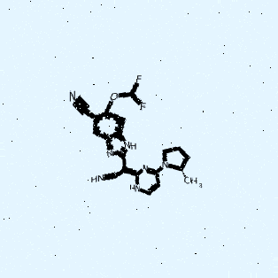 C[C@H]1CCCN1C1=N/C(=C(/C=N)c2nc3cc(C#N)c(OC(F)F)cc3[nH]2)NC=C1